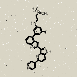 CN(C)CCNc1cc(F)cc(-c2cccc3[nH]c(-c4n[nH]c5ccc(-c6ccncc6)nc45)cc23)c1